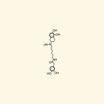 CCCN(CCCCCCNC(=O)Cc1ccc(O)c(O)c1)C1CCc2c(ccc(O)c2O)C1